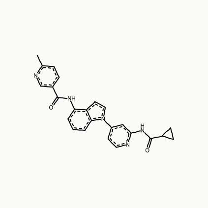 Cc1ccc(C(=O)Nc2cccc3c2ccn3-c2ccnc(NC(=O)C3CC3)c2)cn1